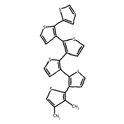 Cc1csc(-c2ccsc2-c2ccsc2-c2ccsc2-c2ccsc2-c2cccs2)c1C